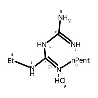 CCCCC/N=C(/NCC)NC(=N)N.Cl